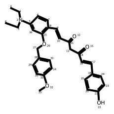 CCN(CC)c1ccc(/C=C/C(=O)CC(=O)/C=C/c2ccc(O)cc2)c(OCc2ccc(OC)cc2)c1